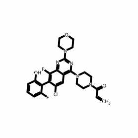 C=CC(=O)N1CCN(c2nc(N3CCOCC3)nc3c(F)c(-c4c(O)cccc4F)c(Cl)cc23)CC1